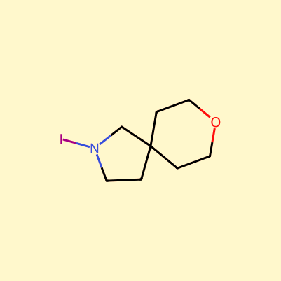 IN1CCC2(CCOCC2)C1